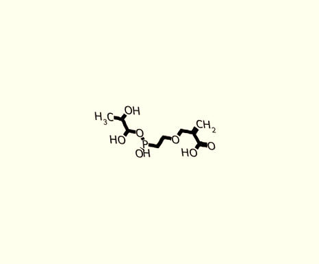 C=C(COCC[PH](=O)OC(O)C(C)O)C(=O)O